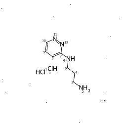 Cl.Cl.NCCCNc1cccnn1